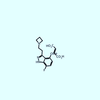 COc1ccc(F)c2[nH]nc(CCN3CCC3)c12.O=C(O)/C=C/C(=O)O